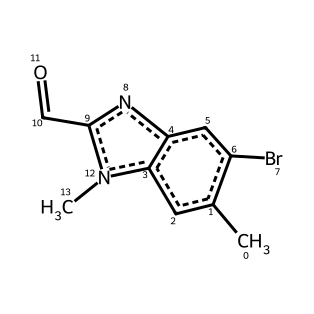 Cc1cc2c(cc1Br)nc(C=O)n2C